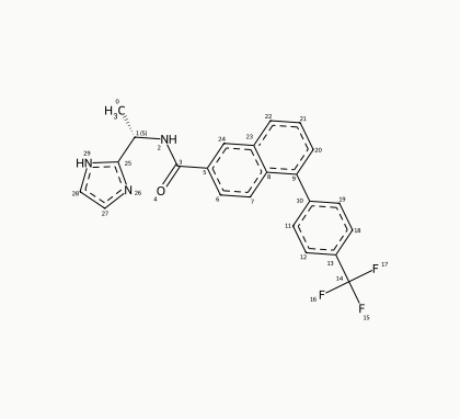 C[C@H](NC(=O)c1ccc2c(-c3ccc(C(F)(F)F)cc3)cccc2c1)c1ncc[nH]1